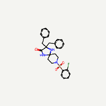 O=C1NC2(CCN(S(=O)(=O)c3ccccc3F)CC2)NC1(Cc1ccccc1)Cc1ccccc1